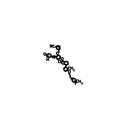 Cc1c(OCCCN2CCC(C)(F)CC2)cccc1-c1cccc2c1CC[C@@H]2Oc1cc(OCc2cncc(C#N)c2)c(CN[C@H]2CCC(=O)NC2)cc1Cl